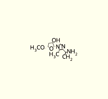 C=C(N)c1ncn([C@@H]2O[C@H](COC)C[C@H]2O)c1C